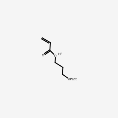 C=CC(=O)OCCCCCCCC.F